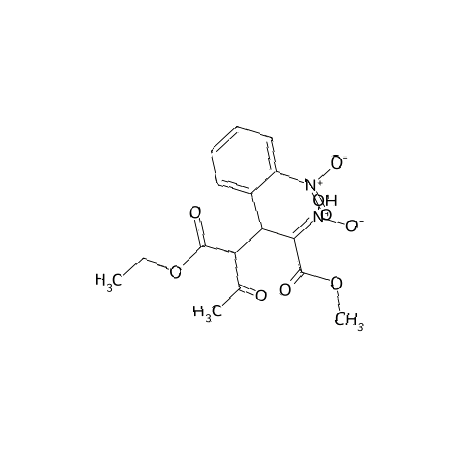 CCOC(=O)C(C(C)=O)C(C(C(=O)OC)=[N+]([O-])O)c1ccccc1[N+](=O)[O-]